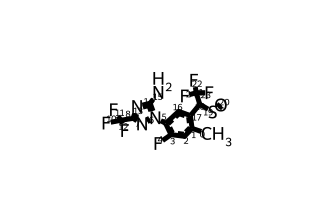 Cc1cc(F)c(-n2nc(C(F)(F)F)nc2N)cc1C([S+]=O)C(F)(F)F